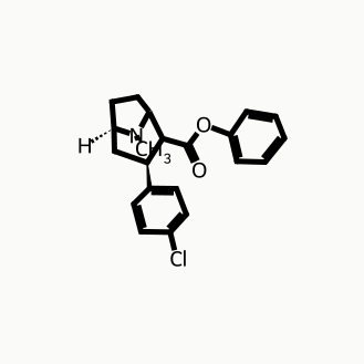 CN1C2CC[C@@H]1C[C@H](c1ccc(Cl)cc1)C2C(=O)Oc1ccccc1